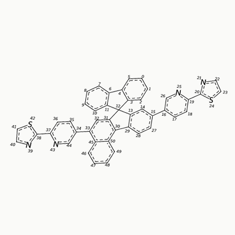 c1ccc2c(c1)-c1ccccc1C21c2cc(-c3ccc(-c4nccs4)nc3)ccc2-c2c1cc(-c1ccc(-c3nccs3)nc1)c1ccccc21